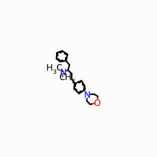 CN(C)C(CCc1ccc(N2CCOCC2)cc1)Cc1ccccc1